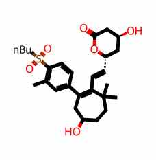 CCCCS(=O)(=O)c1ccc(C2=C(C=C[C@H]3C[C@H](O)CC(=O)O3)C(C)(C)CCC(O)C2)cc1C